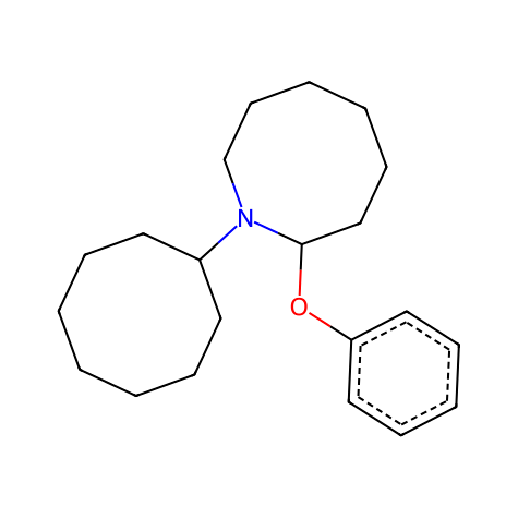 c1ccc(OC2CCCCCCN2C2CCCCCCC2)cc1